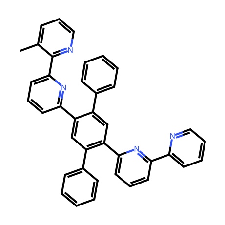 Cc1cccnc1-c1cccc(-c2cc(-c3ccccc3)c(-c3cccc(-c4ccccn4)n3)cc2-c2ccccc2)n1